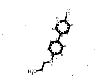 CCCOc1ccc(-c2ccc(Cl)nc2)cc1